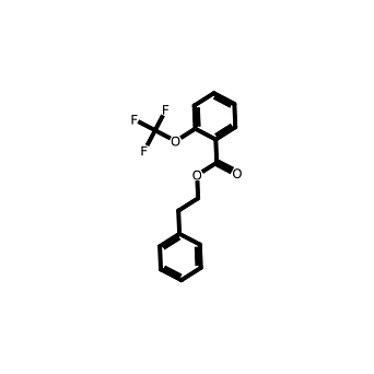 O=C(OCCc1ccccc1)c1ccccc1OC(F)(F)F